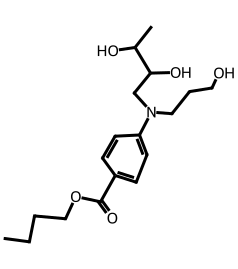 CCCCOC(=O)c1ccc(N(CCCO)CC(O)C(C)O)cc1